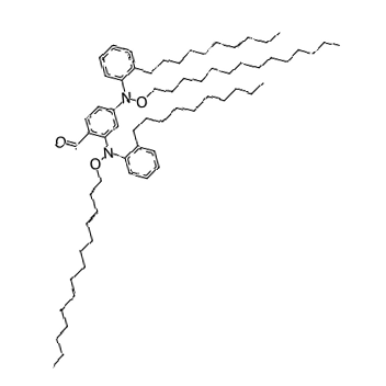 CCCCCCCCCCCCCCON(c1ccc([C]=O)c(N(OCCCCCCCCCCCCCC)c2ccccc2CCCCCCCCCC)c1)c1ccccc1CCCCCCCCCC